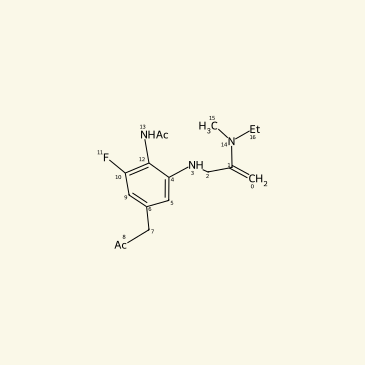 C=C(CNc1cc(CC(C)=O)cc(F)c1NC(C)=O)N(C)CC